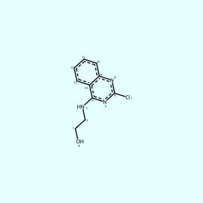 OCCNc1nc(Cl)nc2ccccc12